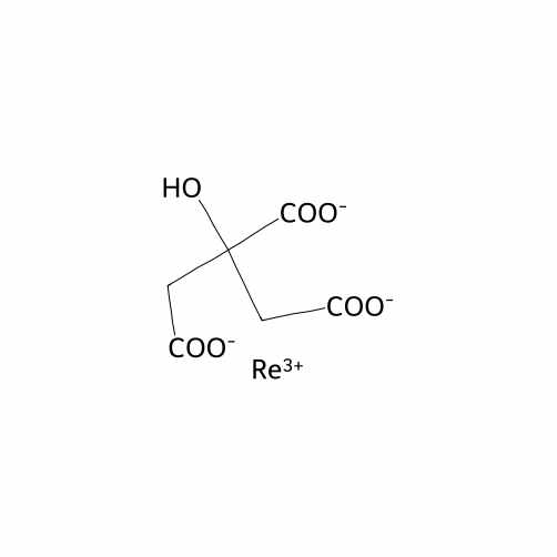 O=C([O-])CC(O)(CC(=O)[O-])C(=O)[O-].[Re+3]